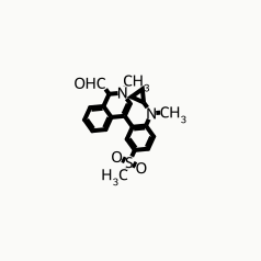 CN1C=C(c2cc(S(C)(=O)=O)ccc2N(C)C2CC2)c2ccccc2C1C=O